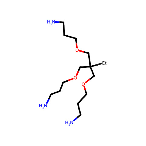 CCC(COCCCN)(COCCCN)COCCCN